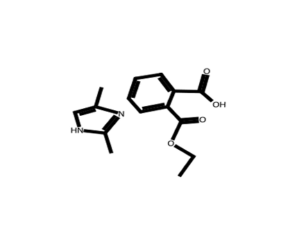 CCOC(=O)c1ccccc1C(=O)O.Cc1c[nH]c(C)n1